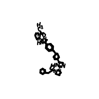 CC(=O)N1CCC[C@H]1c1ncc(-c2ccc(-c3ccc(-c4cnc([C@@H]5CCCN5C(=O)Cc5ccccc5)[nH]4)cc3)cc2)[nH]1